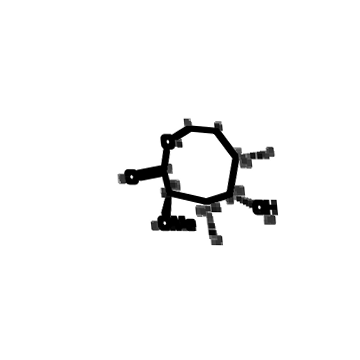 CO[C@H]1C(=O)OCC[C@H](C)[C@H](O)[C@@H]1C